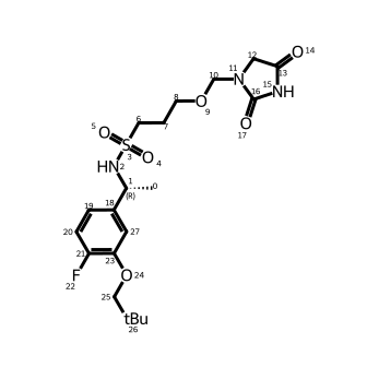 C[C@@H](NS(=O)(=O)CCCOCN1CC(=O)NC1=O)c1ccc(F)c(OCC(C)(C)C)c1